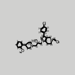 COc1ccccc1C1CCN(CC(O)Cn2nc(-c3ccc(Cl)cc3)c3c2CCN(C=O)C3)CC1